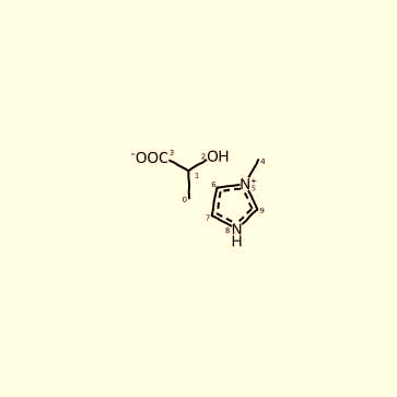 CC(O)C(=O)[O-].C[n+]1cc[nH]c1